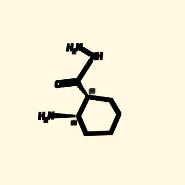 NNC(=O)[C@@H]1CCCC[C@@H]1N